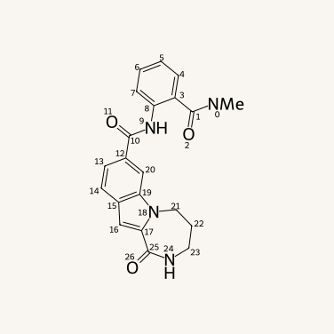 CNC(=O)c1ccccc1NC(=O)c1ccc2cc3n(c2c1)CCCNC3=O